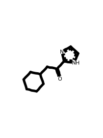 O=C(CC1CCCCC1)c1ncc[nH]1